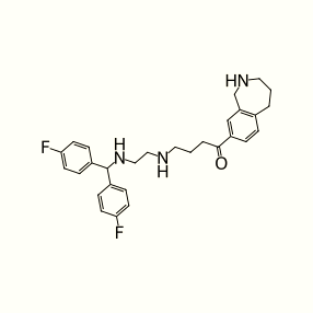 O=C(CCCNCCNC(c1ccc(F)cc1)c1ccc(F)cc1)c1ccc2c(c1)CNCCC2